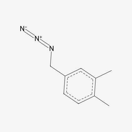 Cc1ccc(CN=[N+]=[N-])cc1C